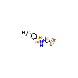 Cc1ccc(S(=O)(=O)NN=CC(Br)(Br)Br)cc1